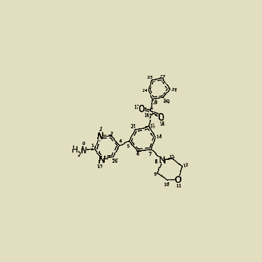 Nc1ncc(-c2cc(N3CCOCC3)cc(S(=O)(=O)c3ccccc3)c2)cn1